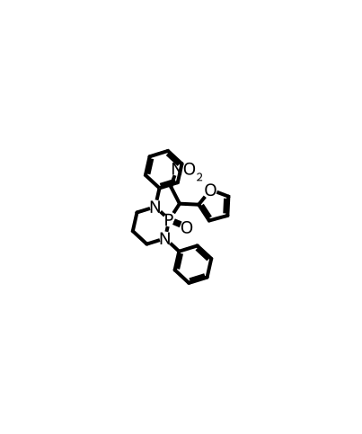 O=[N+]([O-])CC(c1ccco1)P1(=O)N(c2ccccc2)CCCN1c1ccccc1